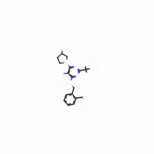 CC(C)(C)c1nc(NCc2ccccc2CS(=O)(=O)F)c(N)c(N2CCC(O)C2)n1